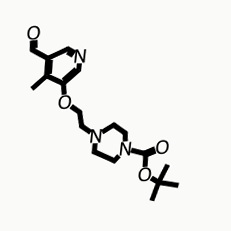 Cc1c(C=O)cncc1OCCN1CCN(C(=O)OC(C)(C)C)CC1